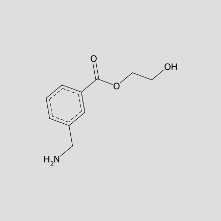 NCc1cccc(C(=O)OCCO)c1